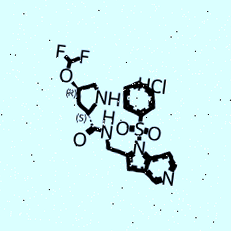 Cl.O=C(NCc1cc2cnccc2n1S(=O)(=O)c1ccccc1)[C@@H]1C[C@@H](OC(F)F)CN1